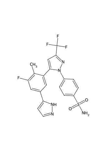 Cc1c(F)cc(-c2ccn[nH]2)cc1-c1cc(C(F)(F)F)nn1-c1ccc(S(N)(=O)=O)cc1